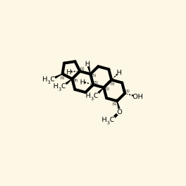 CO[C@H]1C[C@@]2(C)[C@@H](CC[C@@H]3[C@@H]2CC[C@]2(C)[C@@H](C)CC[C@@H]32)C[C@@H]1O